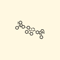 C1=CC2c3ccc(-c4ccc5c(c4)c4cccnc4n5-c4ccccc4)cc3C3(c4ccccc4-c4ccccc43)C2C=C1c1ccc2c(c1)c1cccnc1n2-c1ccccc1